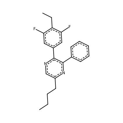 CCCCc1cnc(-c2cc(F)c(CC)c(F)c2)c(-c2ccccc2)n1